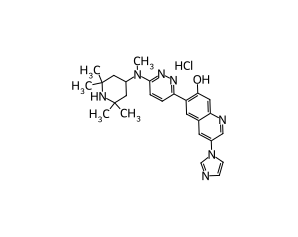 CN(c1ccc(-c2cc3cc(-n4ccnc4)cnc3cc2O)nn1)C1CC(C)(C)NC(C)(C)C1.Cl